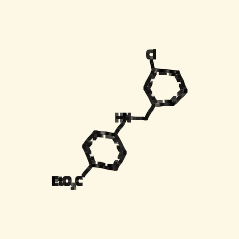 CCOC(=O)c1ccc(NCc2cccc(Cl)c2)cc1